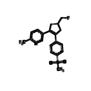 CS(=O)(=O)c1ccc(C2=C(c3ccc(C(F)(F)F)nc3)CC(CF)C2)cc1